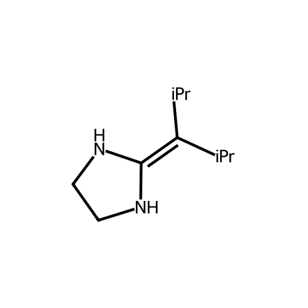 CC(C)C(=C1NCCN1)C(C)C